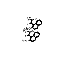 COc1ccc2ccccc2c1C(=O)C(C)Br.COc1ccc2ccccc2c1C(=O)C(C)Br